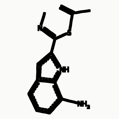 C=C(C)S/C(=N\C)c1cc2cccc(N)c2[nH]1